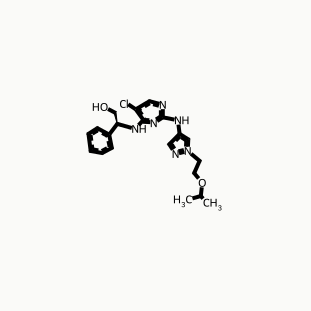 CC(C)OCCn1cc(Nc2ncc(Cl)c(N[C@H](CO)c3ccccc3)n2)cn1